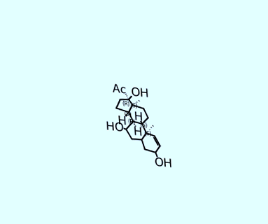 CC(=O)[C@@]1(O)CC[C@H]2[C@@H]3C(O)CC4CC(O)C=C[C@]4(C)[C@H]3CC[C@@]21C